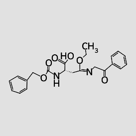 CCOC(C[C@H](NC(=O)OCc1ccccc1)C(=O)O)=NCC(=O)c1ccccc1